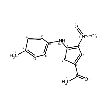 CC(=O)c1cc([N+](=O)[O-])c(Nc2ccc(C)cc2)s1